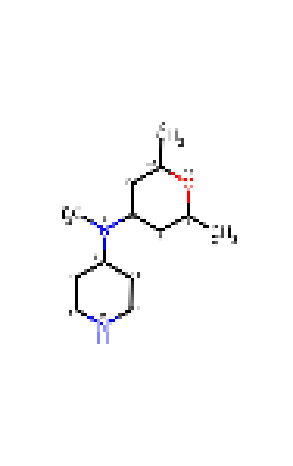 CC1CC(N(C)C2CCNCC2)CC(C)O1